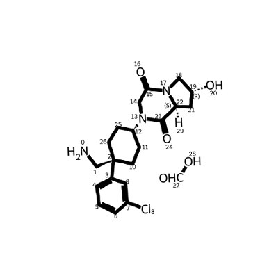 NC[C@]1(c2cccc(Cl)c2)CC[C@@H](N2CC(=O)N3C[C@H](O)C[C@H]3C2=O)CC1.O=CO